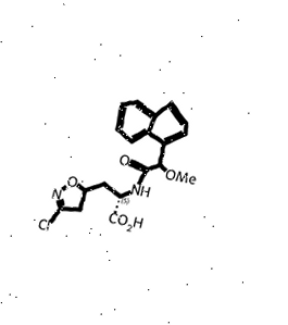 COC(C(=O)N[C@@H](CC1CC(Cl)=NO1)C(=O)O)c1cccc2ccccc12